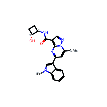 CNc1cc(-c2cn(C(C)C)c3ccccc23)nc2c(C(=O)N[C@@H]3CC[C@H]3O)cnn12